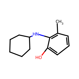 Cc1cccc(O)c1NC1CCCCC1